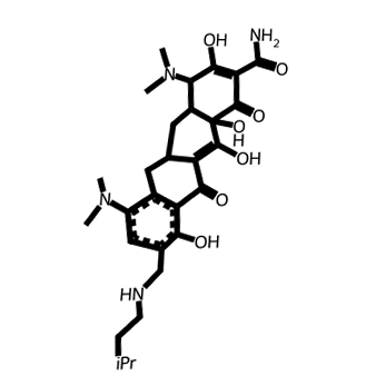 CC(C)CCNCc1cc(N(C)C)c2c(c1O)C(=O)C1=C(O)C3(O)C(=O)C(C(N)=O)=C(O)C(N(C)C)C3CC1C2